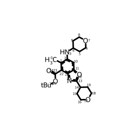 Cc1c(NC2CCOCC2)cc2oc(C3CCOCC3)nc2c1C(=O)OC(C)(C)C